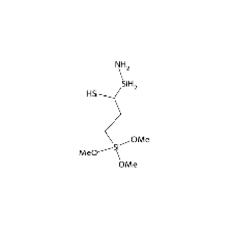 CO[Si](CCC(S)[SiH2]N)(OC)OC